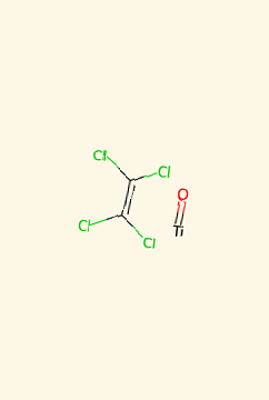 ClC(Cl)=C(Cl)Cl.[O]=[Ti]